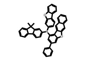 CC1(C)c2ccccc2-c2ccc(N(c3ccc4c(c3)oc3ccccc34)c3cc(-c4ccccc4)cc4oc5cc6ccccc6cc5c34)cc21